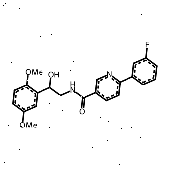 COc1ccc(OC)c(C(O)CNC(=O)c2ccc(-c3cccc(F)c3)nc2)c1